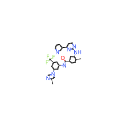 Cc1cn(-c2cc(N(C)C(=O)c3ccc(C)c(Nc4nccc(-c5cccnc5)n4)c3)cc(C(F)(F)F)c2)cn1